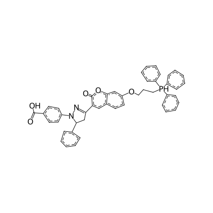 O=C(O)c1ccc(N2N=C(c3cc4ccc(OCCC[PH](c5ccccc5)(c5ccccc5)c5ccccc5)cc4oc3=O)CC2c2ccccc2)cc1